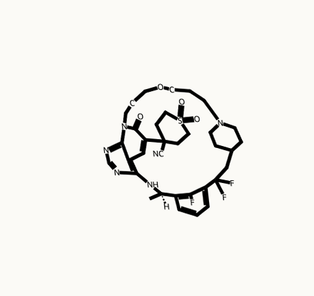 C[C@H]1Nc2ncnc3c2cc(C2(C#N)CCS(=O)(=O)CC2)c(=O)n3CCCOCCCN2CCC(CC2)CC(F)(F)c2cccc1c2F